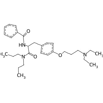 CCCN(CCC)C(=O)C(Cc1ccc(OCCCN(CC)CC)cc1)NC(=O)c1ccccc1